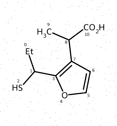 CCC(S)c1occc1C(C)C(=O)O